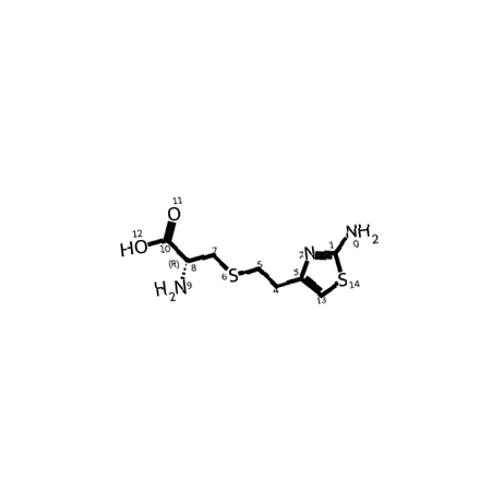 Nc1nc(CCSC[C@H](N)C(=O)O)cs1